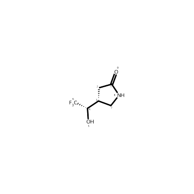 O=C1C[C@@H]([C@H](O)C(F)(F)F)CN1